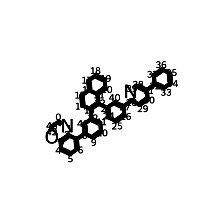 C1=Nc2c(cccc2-c2cccc(-c3ccc4ccccc4c3-c3cccc(-c4ccc(-c5ccccc5)cn4)c3)c2)OC1